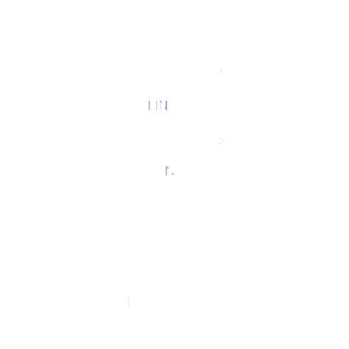 CC(=O)Nc1nc(CCCCl)cs1